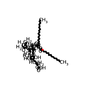 CC(=O)[C@](C)(C(=O)O)N(CC(C)O[C@@H]1[C@@H](N)[C@@H](O)O[C@H](CO)[C@H]1O)C(=O)CC[C@@H](NC(=O)[C@H](C)N)C(N)=O.CCCCCCCCCCCCCCCC(=O)OC[C@H](CO)OC(=O)CCCCCCCCCCCCCCC.NCCO[PH](=O)O